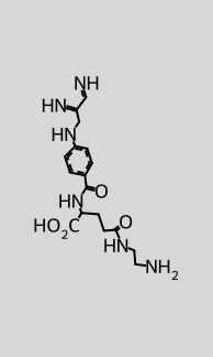 N=CC(=N)CNc1ccc(C(=O)NC(CCC(=O)NCCN)C(=O)O)cc1